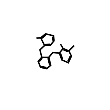 Cc1ccccc1Cc1ccccc1Cc1cccc(C)c1C